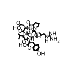 CC(=O)N[C@H](CCCNC(=N)N)C(=O)N1CCC[C@H]1C(=O)N[C@@H](CC(=O)O)C(=O)N[C@H](C(=O)N[C@@H](Cc1ccc(O)cc1)C(=O)O)C(C)C